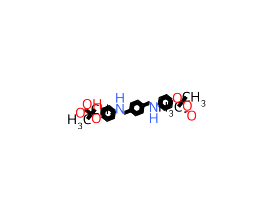 CC(C)(OC=O)Oc1ccc(NCc2ccc(CNc3ccc(OC(C)(C)C(=O)O)cc3)cc2)cc1